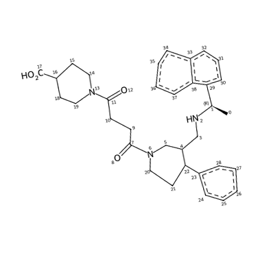 C[C@@H](NCC1CN(C(=O)CCC(=O)N2CCC(C(=O)O)CC2)CCC1c1ccccc1)c1cccc2ccccc12